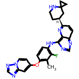 Cc1c(Oc2ccn3ncnc3c2)ccc(Nc2ncnc3ccc([C@H]4CCNC5(CC5)C4)nc23)c1F